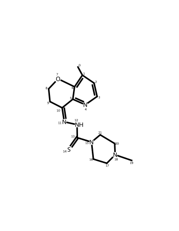 Cc1ccnc2c1OCC/C2=N/NC(=S)N1CCN(C)CC1